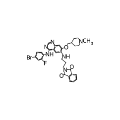 CN1CCC(COc2cc3ncnc(Nc4ccc(Br)cc4F)c3cc2NCCCN2C(=O)c3ccccc3C2=O)CC1